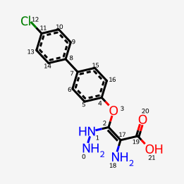 NN/C(Oc1ccc(-c2ccc(Cl)cc2)cc1)=C(\N)C(=O)O